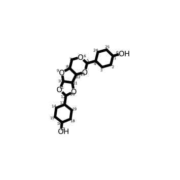 OC1CCC(C2OCC3OC4OC(C5CCC(O)CC5)OC4C3O2)CC1